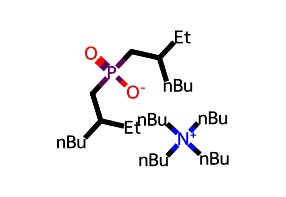 CCCCC(CC)CP(=O)([O-])CC(CC)CCCC.CCCC[N+](CCCC)(CCCC)CCCC